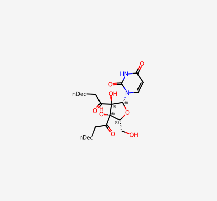 CCCCCCCCCCCC(=O)[C@@]1(O)[C@@H](CO)O[C@@H](n2ccc(=O)[nH]c2=O)[C@@]1(O)C(=O)CCCCCCCCCCC